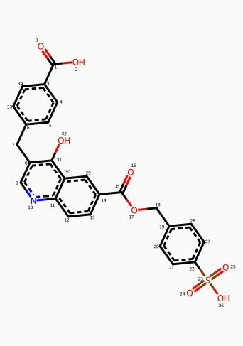 O=C(O)c1ccc(Cc2cnc3ccc(C(=O)OCc4ccc(S(=O)(=O)O)cc4)cc3c2O)cc1